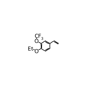 C=Cc1ccc(OCC)c(OC(F)(F)F)c1